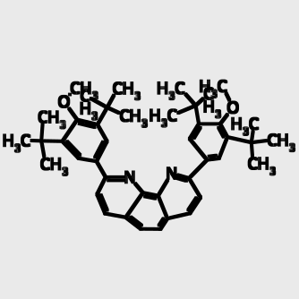 COc1c(C(C)(C)C)cc(-c2ccc3ccc4ccc(-c5cc(C(C)(C)C)c(OC)c(C(C)(C)C)c5)nc4c3n2)cc1C(C)(C)C